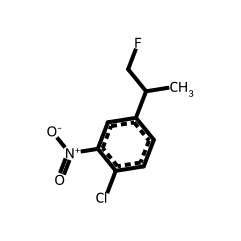 C[C](CF)c1ccc(Cl)c([N+](=O)[O-])c1